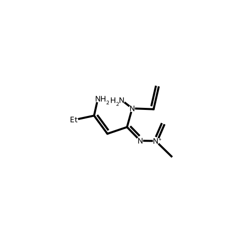 C=CN(N)C(/C=C(\N)CC)=N\[N+](=C)C